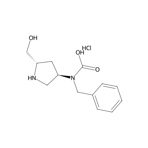 Cl.O=C(O)N(Cc1ccccc1)[C@H]1CN[C@H](CO)C1